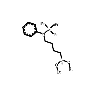 CCO[SiH](CCCCN(c1ccccc1)[Si](C(C)C)(C(C)C)C(C)C)OCC